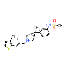 Cc1ccsc1C=CCN1CC2C(C1)C2(C)c1cccc(NS(C)(=O)=O)c1